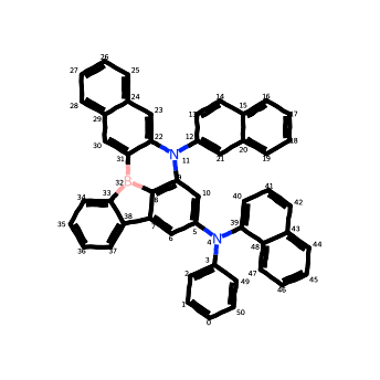 c1ccc(N(c2cc3c4c(c2)N(c2ccc5ccccc5c2)c2cc5ccccc5cc2B4c2ccccc2-3)c2cccc3ccccc23)cc1